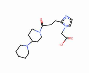 O=C(O)Cn1ccnc1CCC(=O)N1CCC(N2CCCCC2)CC1